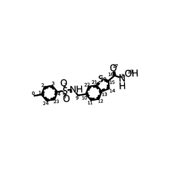 Cc1ccc(S(=O)(=O)NCc2ccc3cc(C(=O)NO)sc3c2)cc1